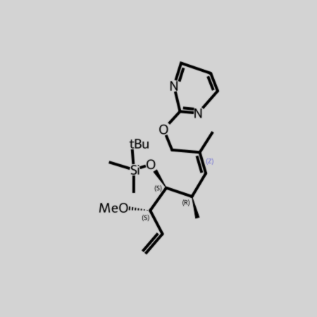 C=C[C@H](OC)[C@@H](O[Si](C)(C)C(C)(C)C)[C@H](C)/C=C(/C)COc1ncccn1